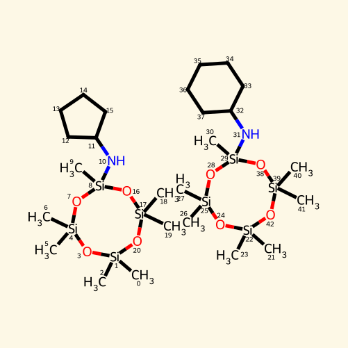 C[Si]1(C)O[Si](C)(C)O[Si](C)(NC2CCCC2)O[Si](C)(C)O1.C[Si]1(C)O[Si](C)(C)O[Si](C)(NC2CCCCC2)O[Si](C)(C)O1